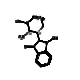 CC(C)C[C@H](C1C(=O)c2ccccc2N1O)[C@H](C)N(C(=O)O)C(C)(C)C